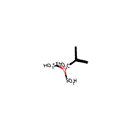 C=C(C)C(=O)OCC.O=S(=O)(O)OS(=O)(=O)O